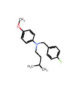 COc1ccc(N(CCC(C)C)Cc2ccc(F)cc2)cc1